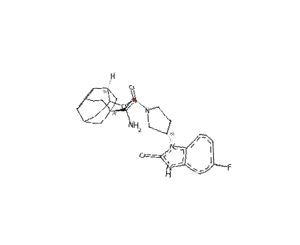 NC(=O)[C@]12CC3CC(C1)C(OC(=O)N1CC[C@H](n4c(=O)[nH]c5cc(F)ccc54)C1)[C@@H](C3)C2